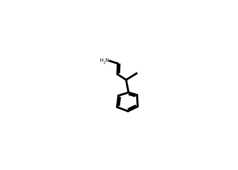 CC(C=CN)c1ccccc1